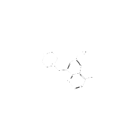 COc1cc(CN2CCOCC2)c2nccc(Br)c2c1